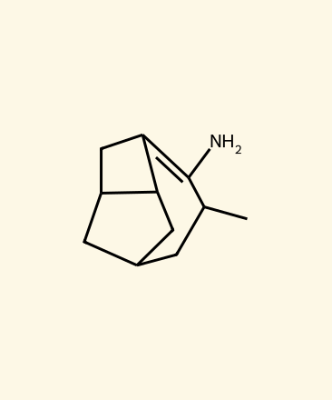 CC1CC2CC3CC(=C1N)C3C2